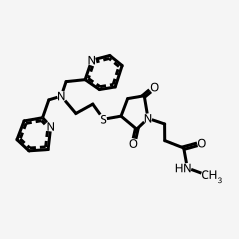 CNC(=O)CCN1C(=O)CC(SCCN(Cc2ccccn2)Cc2ccccn2)C1=O